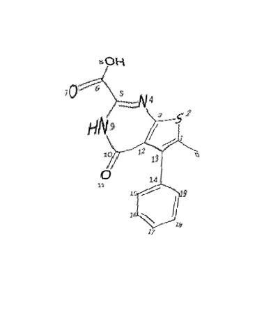 Cc1sc2nc(C(=O)O)[nH]c(=O)c2c1-c1ccccc1